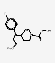 COCCC(c1ccc(F)cc1)C1CCN(C(=O)OC(C)(C)C)CC1